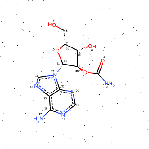 NC(=O)O[C@@H]1[C@@H](O)[C@@H](CO)O[C@H]1n1cnc2c(N)ncnc21